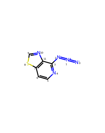 [N-]=[N+]=Nc1nccc2scnc12